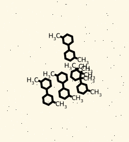 CC1CCCC(C2(C)CCCC(C)(C)C2(C)C)C1.CC1CCCC(C2CCCC(C)C2)C1.CC1CCCC(C2CCCC(C)C2)C1.CC1CCCC(C2CCCC(C)C2)C1